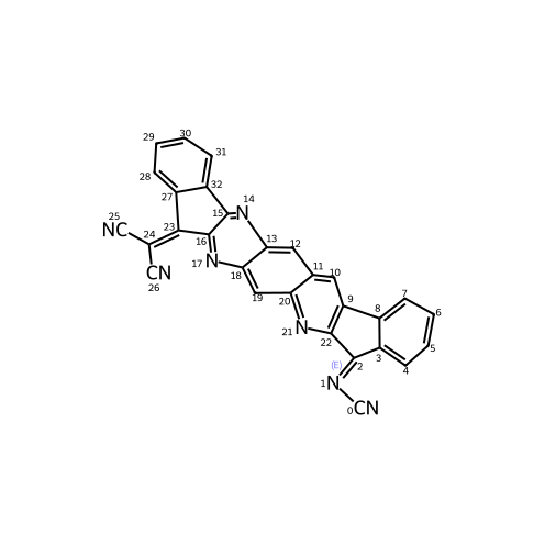 N#C/N=C1\c2ccccc2-c2cc3cc4nc5c(nc4cc3nc21)C(=C(C#N)C#N)c1ccccc1-5